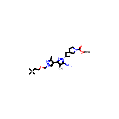 Cc1nn(COCC[Si](C)(C)C)cc1-c1nn([C@H]2C[C@@]3(CCN(C(=O)OC(C)(C)C)C3)C2)c(N)c1C#N